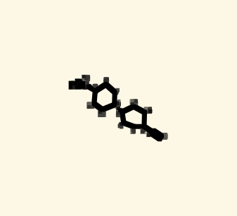 C#CC1CCC([C@H]2CC[C@H](CCCC)CC2)CC1